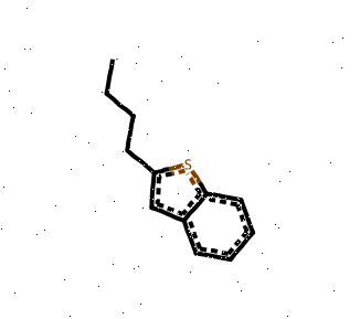 [CH2]CCCc1cc2ccccc2s1